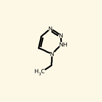 CCN1C=CN=NN1